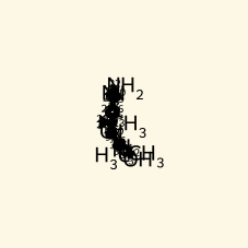 CC(C)(O)Cn1cc(-c2coc(C(C)(c3ccc(-c4cnc(N)nc4)cc3)C3CC3)n2)cn1